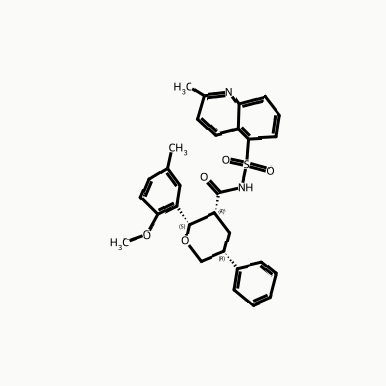 COc1ccc(C)cc1[C@H]1OC[C@@H](c2ccccc2)C[C@H]1C(=O)NS(=O)(=O)c1cccc2nc(C)ccc12